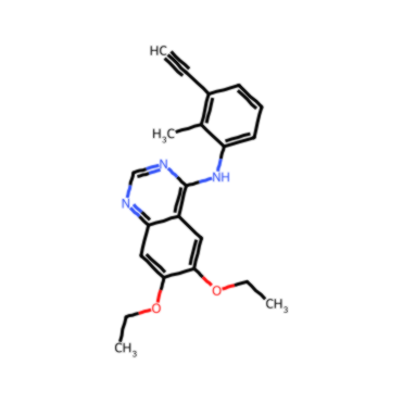 C#Cc1cccc(Nc2ncnc3cc(OCC)c(OCC)cc23)c1C